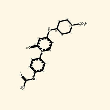 CC(C)(C)C(=O)Nc1ccc(-n2ccc(OC3CCN(C(=O)O)CC3)cc2=O)cc1